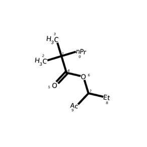 CCCC(C)(C)C(=O)OC(CC)C(C)=O